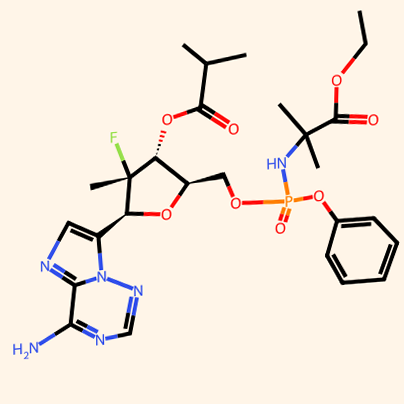 CCOC(=O)C(C)(C)NP(=O)(OC[C@H]1O[C@@H](c2cnc3c(N)ncnn23)[C@](C)(F)[C@@H]1OC(=O)C(C)C)Oc1ccccc1